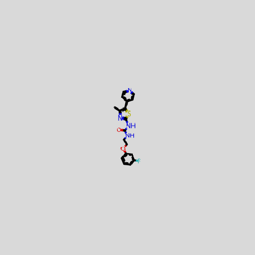 Cc1nc(NC(=O)NCCOc2cccc(F)c2)sc1-c1ccncc1